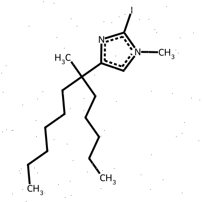 CCCCCCC(C)(CCCCC)c1cn(C)c(I)n1